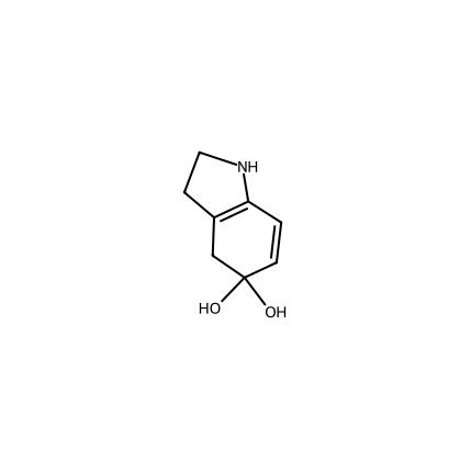 OC1(O)C=CC2=C(CCN2)C1